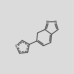 C1=NN=C2CC(c3ccsc3)=CC=C12